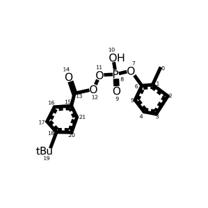 Cc1ccccc1OP(=O)(O)OOC(=O)c1ccc(C(C)(C)C)cc1